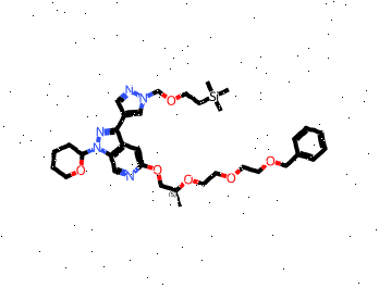 C[C@@H](COc1cc2c(-c3cnn(COCC[Si](C)(C)C)c3)nn(C3CCCCO3)c2cn1)OCCOCCOCc1ccccc1